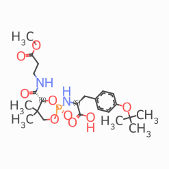 COC(=O)CCNC(=O)[C@@H]1OP(=O)(N[C@@H](Cc2ccc(OC(C)(C)C)cc2)C(=O)O)OCC1(C)C